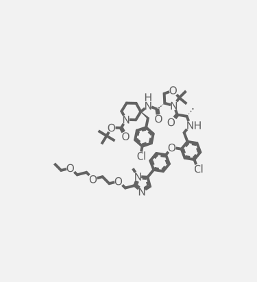 CCOCCOCCOCc1ncc(-c2ccc(Oc3cc(Cl)ccc3CN[C@@H](C)C(=O)N3[C@H](C(=O)N[C@@]4(Cc5ccc(Cl)cc5)CCCN(C(=O)OC(C)(C)C)C4)COC3(C)C)cc2)n1C